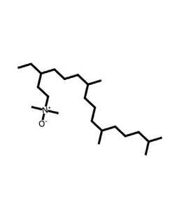 CCC(CCCC(C)CCCC(C)CCCC(C)C)CC[N+](C)(C)[O-]